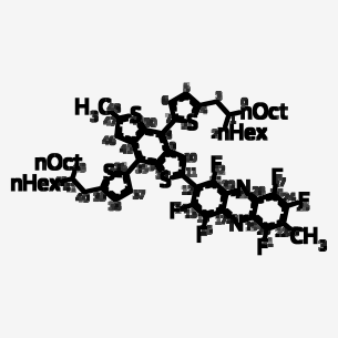 CCCCCCCCC(CCCCCC)Cc1ccc(-c2c3cc(-c4c(F)c(F)c5nc6c(F)c(C)c(F)c(F)c6nc5c4F)sc3c(-c3ccc(CC(CCCCCC)CCCCCCCC)s3)c3cc(C)sc23)s1